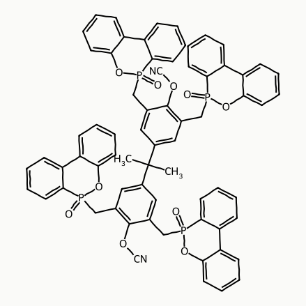 CC(C)(c1cc(CP2(=O)Oc3ccccc3-c3ccccc32)c(OC#N)c(CP2(=O)Oc3ccccc3-c3ccccc32)c1)c1cc(CP2(=O)Oc3ccccc3-c3ccccc32)c(OC#N)c(CP2(=O)Oc3ccccc3-c3ccccc32)c1